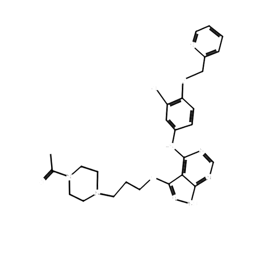 CC(=O)N1CCN(CCCOc2n[nH]c3ncnc(Nc4ccc(OCc5ccccn5)c(Cl)c4)c23)CC1